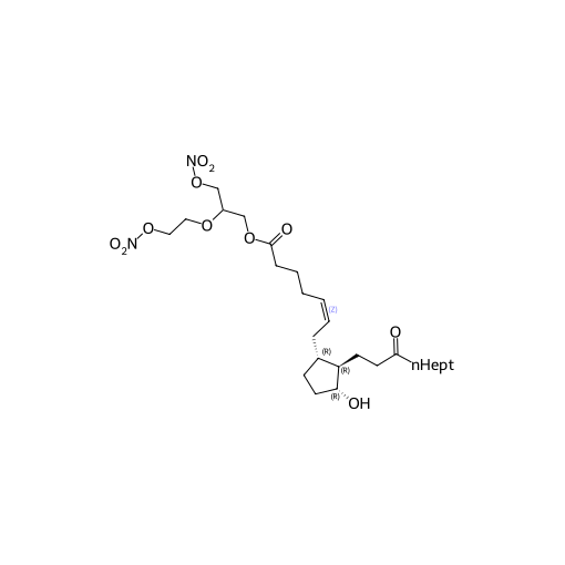 CCCCCCCC(=O)CC[C@@H]1[C@@H](C/C=C\CCCC(=O)OCC(CO[N+](=O)[O-])OCCO[N+](=O)[O-])CC[C@H]1O